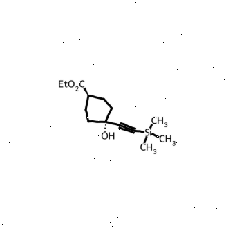 CCOC(=O)[C@H]1CC[C@@](O)(C#C[Si](C)(C)C)CC1